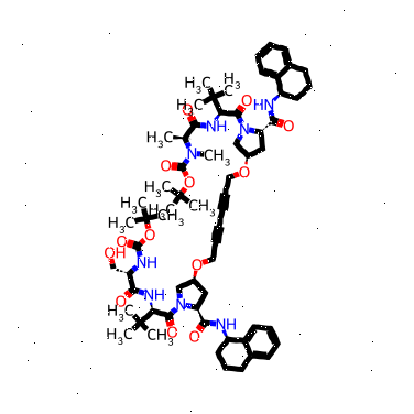 C[C@@H](C(=O)N[C@H](C(=O)N1C[C@@H](OCC#CC#CCO[C@H]2C[C@@H](C(=O)N[C@@H]3CCCc4ccccc43)N(C(=O)[C@@H](NC(=O)[C@H](CO)NC(=O)OC(C)(C)C)C(C)(C)C)C2)C[C@H]1C(=O)N[C@@H]1CCCc2ccccc21)C(C)(C)C)N(C)C(=O)OC(C)(C)C